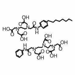 CCCCCCCCc1ccc(NC(=O)CN(CCN(CC(=O)O)CC(=O)O)CC(=O)O)cc1.O=C(O)CN(CCN(CC(=O)O)CC(=O)O)CCN(CC(=O)O)CC(=O)Nc1ccccc1